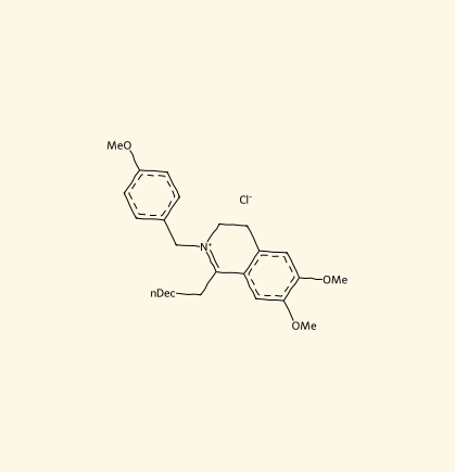 CCCCCCCCCCCC1=[N+](Cc2ccc(OC)cc2)CCc2cc(OC)c(OC)cc21.[Cl-]